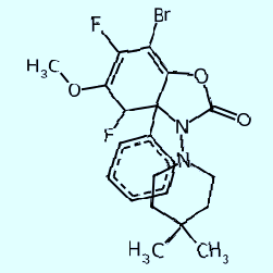 COC1=C(F)C(Br)=C2OC(=O)N(N3CCC(C)(C)CC3)C2(c2ccccc2)C1F